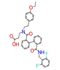 CCOc1ccc(CCN(CCC(=O)O)C(=O)c2ccccc2-c2ccccc2C(=O)NCc2c(F)cccc2F)cc1